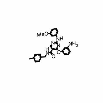 COc1cccc(Nc2ncc(C(=O)NCc3ccc(C)cc3)c(Oc3cccc(N)c3)n2)c1